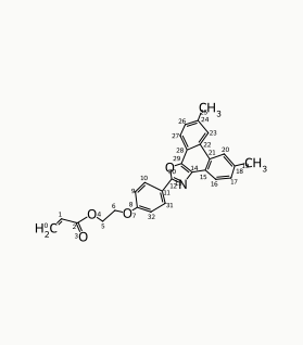 C=CC(=O)OCCOc1ccc(-c2nc3c4ccc(C)cc4c4cc(C)ccc4c3o2)cc1